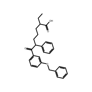 CCC(CCCC(C(=O)c1cccc(OCc2ccccc2)c1)c1ccccc1)C(=O)O